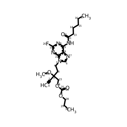 C#CC(CCn1cnc2c(NC(=O)CCCCC)nc(F)nc21)(COC(=O)OCCC)OC